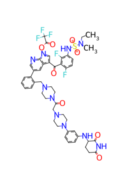 CCN(C)S(=O)(=O)Nc1ccc(F)c(C(=O)c2cn(OC(=O)C(F)(F)F)c3ncc(-c4ccccc4CN4CCN(C(=O)CN5CCN(c6cccc(NC7CCC(=O)NC7=O)c6)CC5)CC4)cc23)c1F